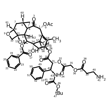 CC(=O)O[C@H]1C(=O)[C@]23C[C@H]2C[C@H]2OC[C@@]2(OC(C)=O)[C@H]3[C@H](OC(=O)c2ccccc2)[C@]2(O)C[C@H](OC(=O)[C@H](OC(=O)COC(=O)CCN)[C@@H](NC(=O)OC(C)(C)C)c3ccccc3)C(C)=C1C2(C)C